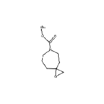 CC(C)(C)OC(=O)N1CCCC2(CC1)CO2